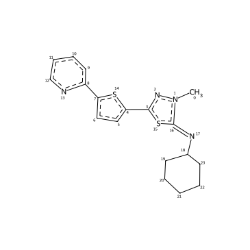 Cn1nc(-c2ccc(-c3ccccn3)s2)sc1=NC1CCCCC1